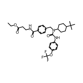 CCOC(=O)CCNC(=O)c1ccc(CN(C(=O)Nc2ccc(OC(F)(F)F)cc2)C2CCC(C(C)(C)C)CC2)cc1